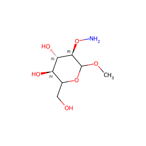 COC1OC(CO)[C@@H](O)[C@H](O)[C@H]1ON